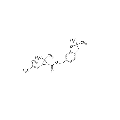 CC(C)=CC1C(C(=O)OCc2ccc3c(c2)OC(C)(C)C3)C1(C)C